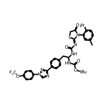 Cc1ccc(C(C)C)c(N2C(=O)CS/C2=N\C(=O)NC(Cc2ccc(-c3ncn(-c4ccc(OC(F)(F)F)cc4)n3)cc2)NC(=O)OC(C)(C)C)c1